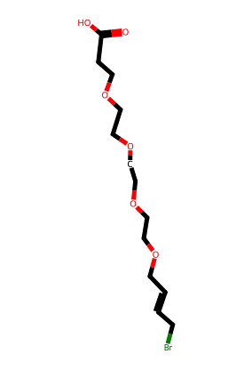 O=C(O)CCOCCOCCOCCOCC=CCBr